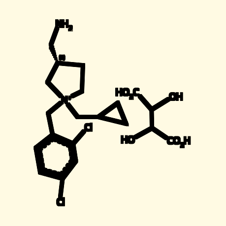 NC[C@@H]1CC[N+](Cc2ccc(Cl)cc2Cl)(CC2CC2)C1.O=C(O)C(O)C(O)C(=O)O